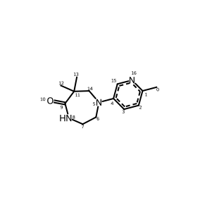 Cc1ccc(N2CCNC(=O)C(C)(C)C2)cn1